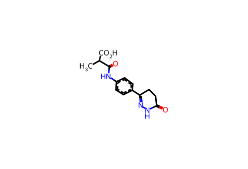 CC(C(=O)O)C(=O)Nc1ccc(C2=NNC(=O)CC2)cc1